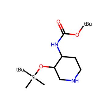 CC(C)(C)OC(=O)NC1CCNCC1O[Si](C)(C)C(C)(C)C